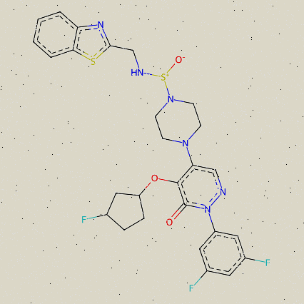 O=c1c(OC2CCC(F)C2)c(N2CCN([S+]([O-])NCc3nc4ccccc4s3)CC2)cnn1-c1cc(F)cc(F)c1